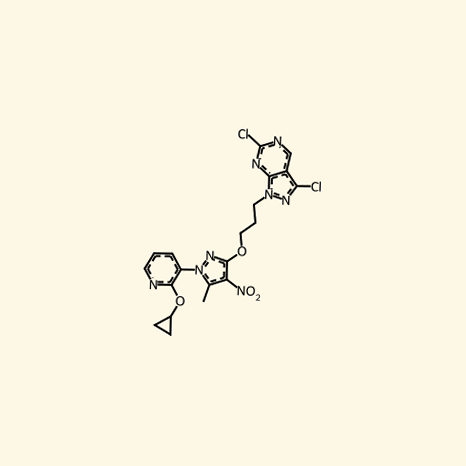 Cc1c([N+](=O)[O-])c(OCCCn2nc(Cl)c3cnc(Cl)nc32)nn1-c1cccnc1OC1CC1